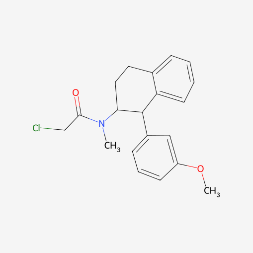 COc1cccc(C2c3ccccc3CCC2N(C)C(=O)CCl)c1